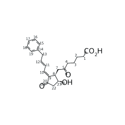 O=C(O)CCCCC(=O)C[C@@H]1C(=CC=CCc2ccccc2)C(=O)C[C@@H]1O